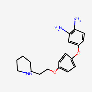 Nc1ccc(Oc2ccc(OCCC3CCCCN3)cc2)cc1N